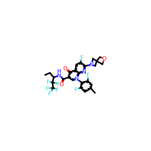 CCC(NC(=O)c1cn(-c2c(F)cc(C)cc2F)c2nc(N3CC4(COC4)C3)c(F)cc2c1=O)C(F)(F)C(F)(F)F